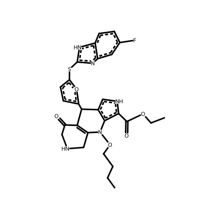 CCCCON1C2=C(C(=O)CNC2)C(c2ccc(Sc3nc4cc(F)ccc4[nH]3)o2)c2c[nH]c(C(=O)OCC)c21